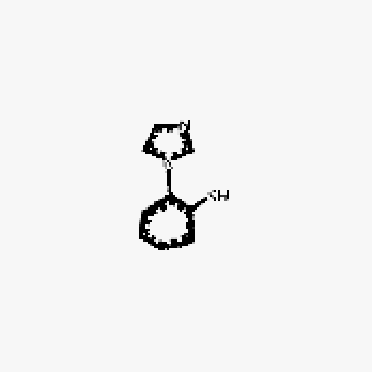 Sc1ccccc1-n1ccnc1